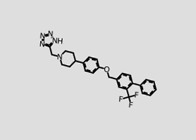 FC(F)(F)c1cc(COc2ccc(C3CCN(Cc4nnn[nH]4)CC3)cc2)ccc1-c1ccccc1